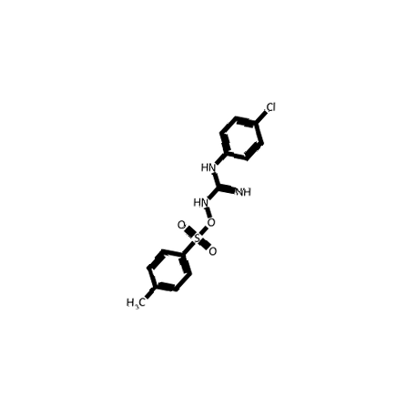 Cc1ccc(S(=O)(=O)ONC(=N)Nc2ccc(Cl)cc2)cc1